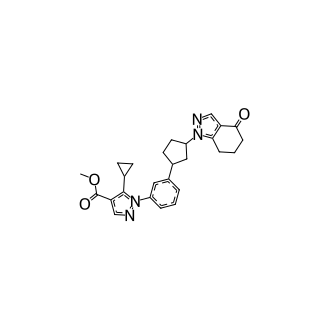 COC(=O)c1cnn(-c2cccc(C3CCC(n4ncc5c4CCCC5=O)C3)c2)c1C1CC1